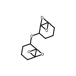 C1CC(OC2CCCC34OC23O4)C23OC2(C1)O3